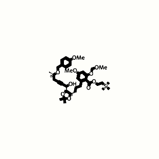 COCOc1cc(OC)cc(CCC[C@@H]2OC(C)(C)O[C@@H]2C(O)C#CC[C@H](C)OCc2ccc(OC)cc2)c1C(=O)OCC[Si](C)(C)C